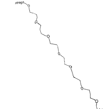 CCCCCCCOCCOCCOCCOCCOCCOCCOCCCCCC